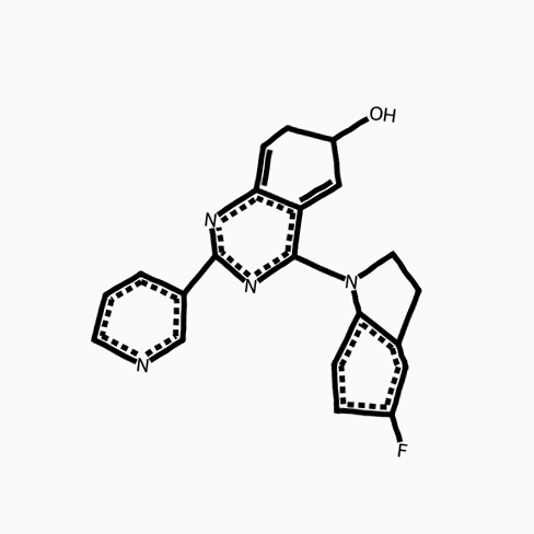 OC1C=c2c(N3CCc4cc(F)ccc43)nc(-c3cccnc3)nc2=CC1